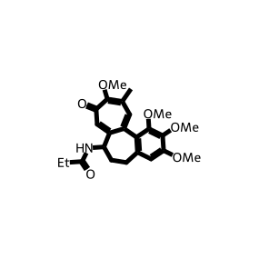 CCC(=O)NC1CCc2cc(OC)c(OC)c(OC)c2-c2cc(C)c(OC)c(=O)cc21